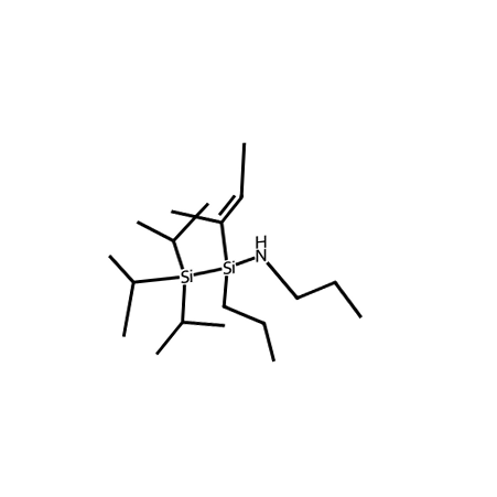 C/C=C(\C)[Si](CCC)(NCCC)[Si](C(C)C)(C(C)C)C(C)C